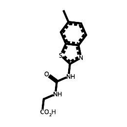 Cc1ccc2nc(NC(=O)NCC(=O)O)sc2c1